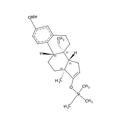 C=C[C@@]12CCc3cc(OC)ccc3[C@H]1CC[C@]1(C)C(O[Si](C)(C)C)=CC[C@@H]21